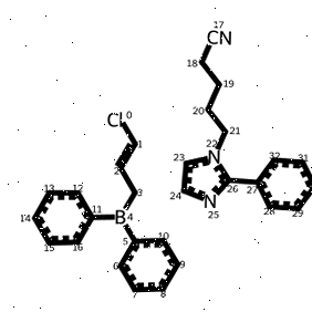 ClC=CCB(c1ccccc1)c1ccccc1.N#CCCCCn1ccnc1-c1ccccc1